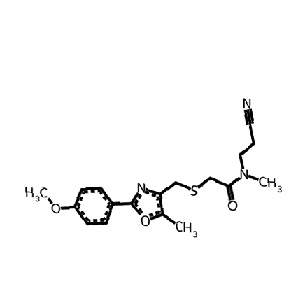 COc1ccc(-c2nc(CSCC(=O)N(C)CCC#N)c(C)o2)cc1